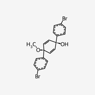 CO[C@]1(c2ccc(Br)cc2)C=C[C@@](O)(c2ccc(Br)cc2)C=C1